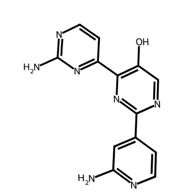 Nc1cc(-c2ncc(O)c(-c3ccnc(N)n3)n2)ccn1